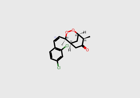 C[C@H]1C(=O)C[C@@H]2C[C@H]1OO[C@]2(C)/C=C\c1ccc(Cl)cc1Cl